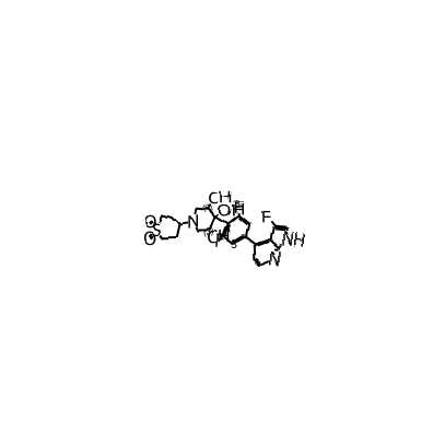 C[C@@H]1CN(C2CCS(=O)(=O)CC2)C[C@H](C)C1(O)c1c(F)cc(-c2ccnc3[nH]cc(F)c23)cc1F